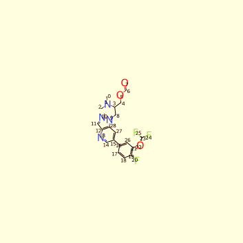 CN(C)C(COC=O)Cn1ncc2ncc(-c3ccc(F)c(OC(F)F)c3)cc21